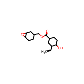 C=CC1CC(C(=O)OCC2CCC3OC3C2)CCC1O